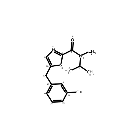 CC(C)N(C)C(=O)c1ncc(Cc2cccc(F)c2)s1